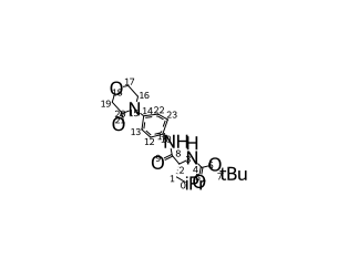 CC(C)C[C@@H](NC(=O)OC(C)(C)C)C(=O)Nc1ccc(N2CCOCC2=O)cc1